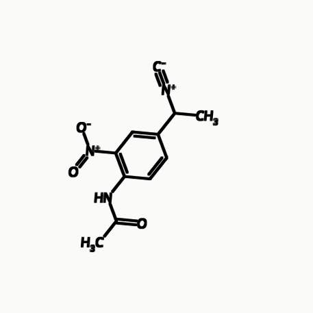 [C-]#[N+]C(C)c1ccc(NC(C)=O)c([N+](=O)[O-])c1